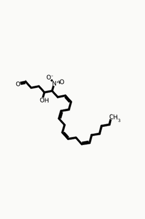 CCCCC/C=C\C/C=C\C/C=C\C/C=C\CC(C(O)CC[C]=O)[N+](=O)[O-]